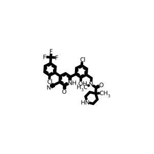 CN(Cc1cc(Cl)cc(-c2cc(-c3cc(C(F)(F)F)ccc3Cl)c(C#N)c(=O)[nH]2)c1O)C(=O)C1(C)CCNCC1